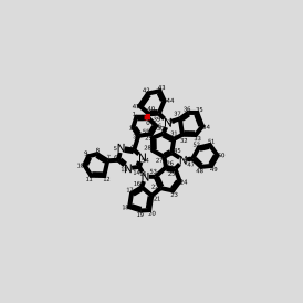 c1ccc(-c2nc(-c3ccccc3)nc(-n3c4ccccc4c4ccc5c(c6ccc7c(c8ccccc8n7-c7ccccc7)c6n5-c5ccccc5)c43)n2)cc1